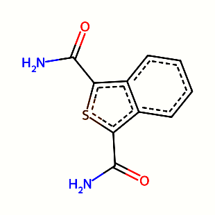 NC(=O)c1sc(C(N)=O)c2ccccc12